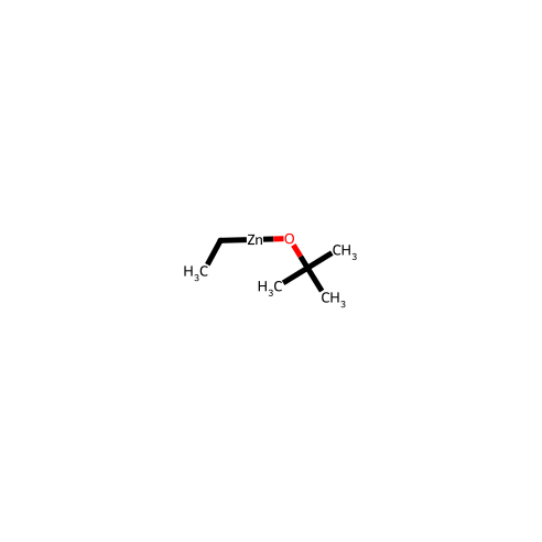 C[CH2][Zn][O]C(C)(C)C